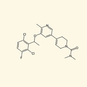 Cc1ncc(C2=CCN(C(=O)N(C)C)CC2)cc1OC(C)c1c(Cl)ccc(F)c1Cl